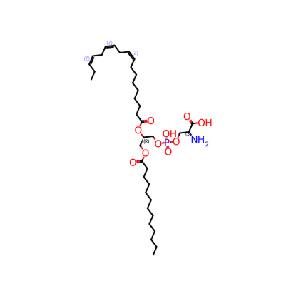 CC/C=C\C/C=C\C/C=C\CCCCCCCC(=O)O[C@H](COC(=O)CCCCCCCCCCCC)COP(=O)(O)OC[C@H](N)C(=O)O